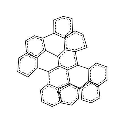 c1ccc(-c2ccccc2-c2c3ccccc3c(-c3ccccc3-c3ccccc3)c3c(-c4ccccc4)c4ccccc4c(-c4ccccc4)c23)cc1